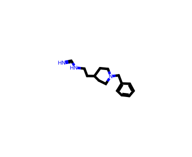 N=CNCCC1CCN(Cc2ccccc2)CC1